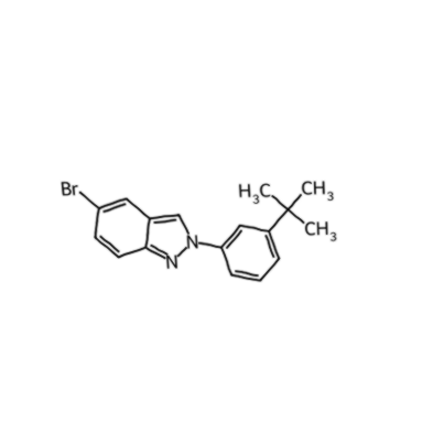 CC(C)(C)c1cccc(-n2cc3cc(Br)ccc3n2)c1